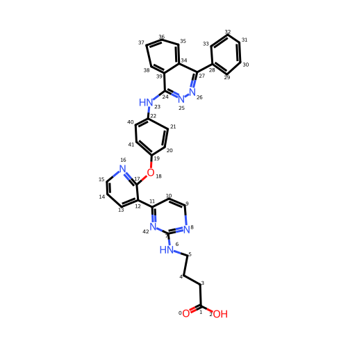 O=C(O)CCCNc1nccc(-c2cccnc2Oc2ccc(Nc3nnc(-c4ccccc4)c4ccccc34)cc2)n1